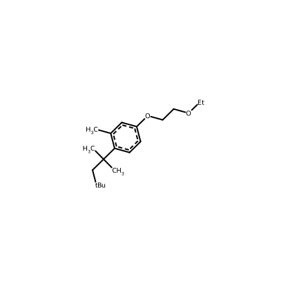 [CH2]COCCOc1ccc(C(C)(C)CC(C)(C)C)c(C)c1